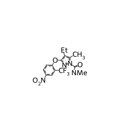 CCc1c(Oc2ccc([N+](=O)[O-])cc2C(F)(F)F)nn(C(=O)NC)c1C